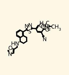 C=C(OC(C)C)/C(C#N)=C\C(=C/C)c1nnc(-c2cccc3c2CCC[C@@H]3NCc2cnco2)s1